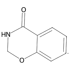 O=C1NCOc2c[c]ccc21